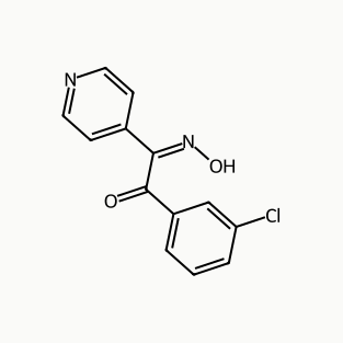 O=C(C(=NO)c1ccncc1)c1cccc(Cl)c1